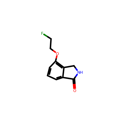 O=C1NCc2c(OCCF)cccc21